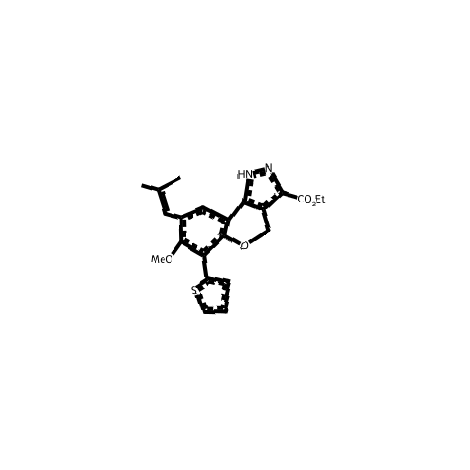 CCOC(=O)c1n[nH]c2c1COc1c-2cc(C=C(C)C)c(OC)c1-c1cccs1